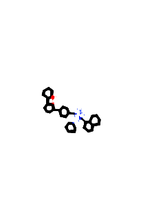 c1ccc(-n2c(-c3ccc(-c4cccc5c4oc4ccccc45)cc3)nnc2-c2cccc3ccccc23)cc1